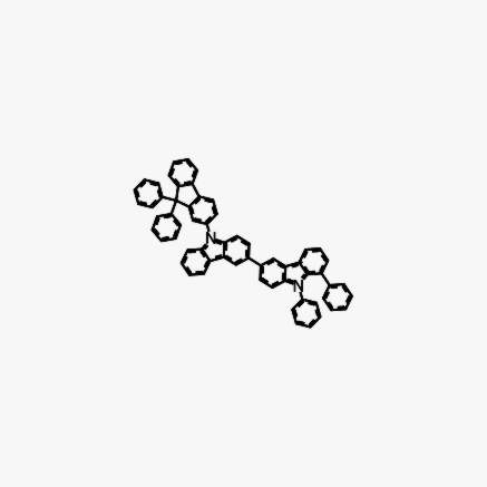 c1ccc(-c2cccc3c4cc(-c5ccc6c(c5)c5ccccc5n6-c5ccc6c(c5)C(c5ccccc5)(c5ccccc5)c5ccccc5-6)ccc4n(-c4ccccc4)c23)cc1